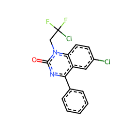 O=c1nc(-c2ccccc2)c2cc(Cl)ccc2n1CC(F)(F)Cl